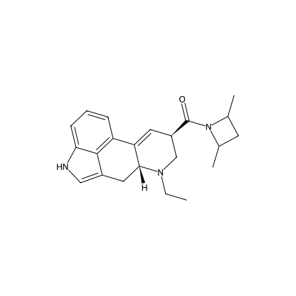 CCN1C[C@H](C(=O)N2C(C)CC2C)C=C2c3cccc4[nH]cc(c34)C[C@H]21